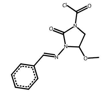 COC1CN(C(=O)Cl)C(=O)N1N=Cc1ccccc1